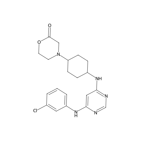 O=C1CN(C2CCC(Nc3cc(Nc4cccc(Cl)c4)ncn3)CC2)CCO1